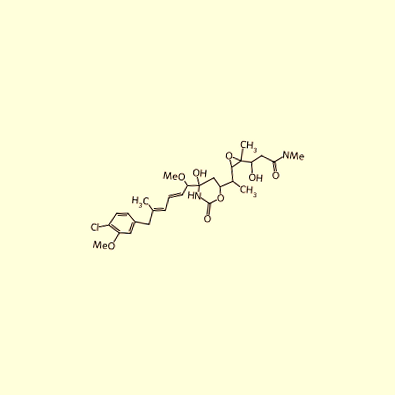 CNC(=O)CC(O)C1(C)OC1C(C)C1CC(O)(C(/C=C/C=C(\C)Cc2ccc(Cl)c(OC)c2)OC)NC(=O)O1